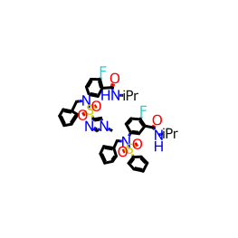 CC(C)NC(=O)c1cc(N(Cc2ccccc2)S(=O)(=O)c2ccccc2)ccc1F.CC(C)NC(=O)c1cc(N(Cc2ccccc2)S(=O)(=O)c2cn(C)cn2)ccc1F